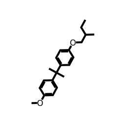 CCC(C)COc1ccc(C(C)(C)c2ccc(OC)cc2)cc1